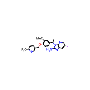 COc1cc(C(C)n2c(N)nc3cc(I)cnc32)ccc1OCc1ccc(C(F)(F)F)nc1